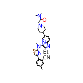 CCc1nc2ccc(C3CCN(CC(=O)N(C)C)CC3)cn2c1N(C)c1nc(-c2ccc(C)cc2C#N)cs1